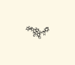 O=C(CCCN(C(=O)c1cc(Cl)cc(OCCNc2ccncc2)c1)c1ccccc1F)N1CCCC1